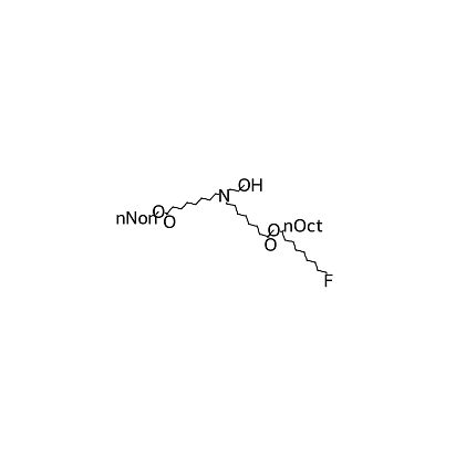 CCCCCCCCCOC(=O)CCCCCCCN(CCO)CCCCCCCC(=O)OC(CCCCCCCC)CCCCCCCCF